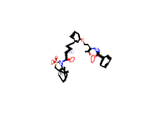 Cc1oc(-c2ccccc2)nc1CCOc1cccc(C/C=C/C(=O)N2C3CC4CC[C@@]3(CS2(=O)=O)C4(C)C)c1